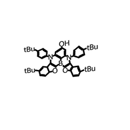 CC(C)(C)C1=CC2C3=C(OC2C=C1)B1c2oc4ccc(C(C)(C)C)cc4c2N(c2ccc(C(C)(C)C)cc2)c2cc(O)cc(c21)N3c1ccc(C(C)(C)C)cc1